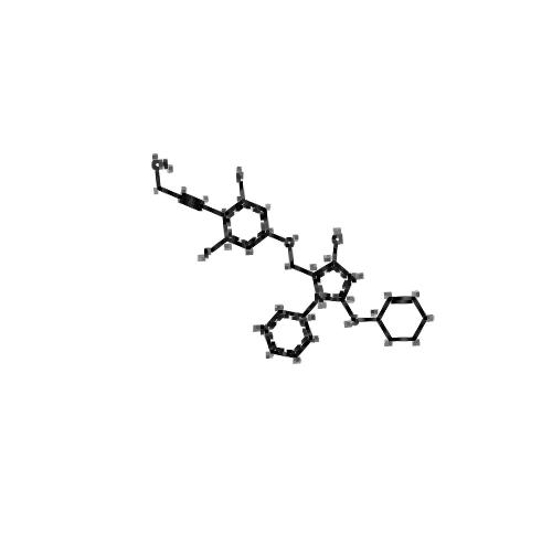 CCC#Cc1c(F)cc(OCc2c(Cl)nc(SC3C=CCCC3)n2-c2cccnc2)cc1F